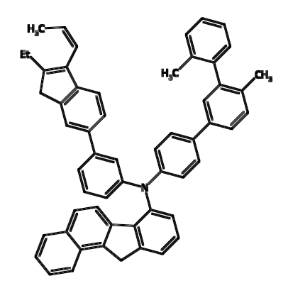 C/C=C\C1=C(CC)Cc2cc(-c3cccc(N(c4ccc(-c5ccc(C)c(-c6ccccc6C)c5)cc4)c4cccc5c4-c4ccc6ccccc6c4C5)c3)ccc21